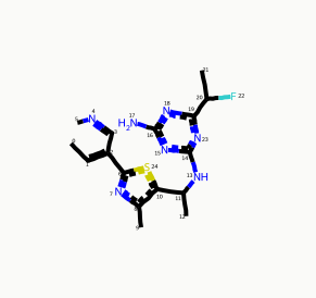 C/C=C(\C=N/C)c1nc(C)c(C(C)Nc2nc(N)nc(C(C)F)n2)s1